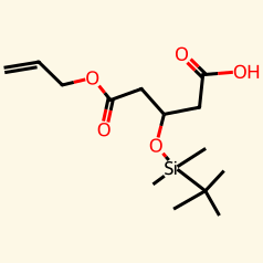 C=CCOC(=O)CC(CC(=O)O)O[Si](C)(C)C(C)(C)C